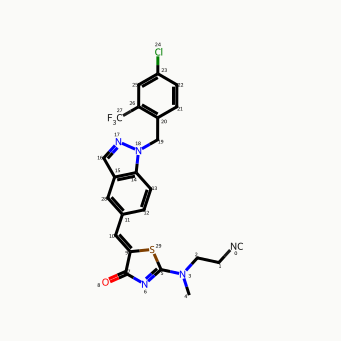 [C-]#[N+]CCN(C)C1=NC(=O)/C(=C/c2ccc3c(cnn3Cc3ccc(Cl)cc3C(F)(F)F)c2)S1